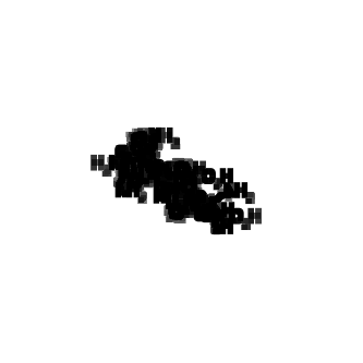 NCCCC[C@H](NC(=O)[C@H](Cc1ccccc1)NC(=O)[C@H](CCC(=O)O)NC(=O)[C@H](Cc1ccccc1)NC(=O)[C@H](CCC(=O)O)NC(=O)[C@H](Cc1ccccc1)NC(=O)[C@H](CCCCN)NC(=O)[C@H](Cc1ccccc1)NC(=O)[C@@H](N)CCCCN)C(=O)N[C@@H](CS)C(=O)O